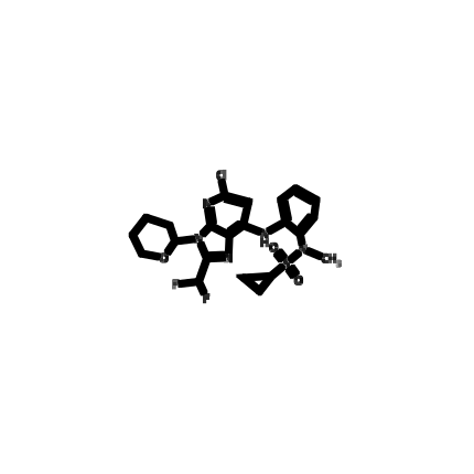 CN(c1ccccc1Nc1cc(Cl)nc2c1nc(C(F)F)n2C1CCCCO1)S(=O)(=O)C1CC1